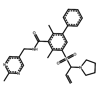 C=CC(N1CCCC1)S(=O)(=O)c1cc(-c2ccccc2)c(C)c(C(=O)NCc2cnc(C)nc2)c1C